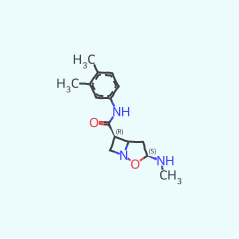 CN[C@@H]1CC2[C@H](C(=O)Nc3ccc(C)c(C)c3)CN2O1